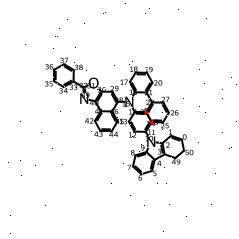 C1=Cc2c(c3ccccc3n2-c2ccc(N(c3ccccc3-c3ccccc3)c3cc4oc(-c5ccccc5)nc4c4ccccc34)cc2)CC1